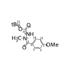 COc1ccc(C(=O)N(C)NC(=O)OC(C)(C)C)cc1